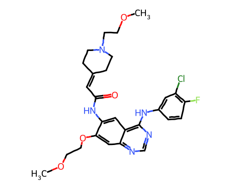 COCCOc1cc2ncnc(Nc3ccc(F)c(Cl)c3)c2cc1NC(=O)C=C1CCN(CCOC)CC1